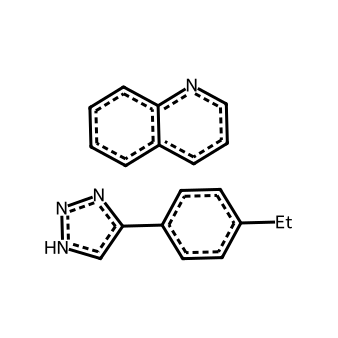 CCc1ccc(-c2c[nH]nn2)cc1.c1ccc2ncccc2c1